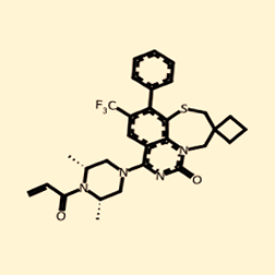 C=CC(=O)N1[C@H](C)CN(c2nc(=O)n3c4c(c(-c5ccccc5)c(C(F)(F)F)cc24)SCC2(CCC2)C3)C[C@@H]1C